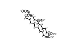 CCCCCCCCCCCCCCCCCCCC(=O)[O-].CCCCCCCCCCCCCCCCCCCC(=O)[O-].[Ni+2]